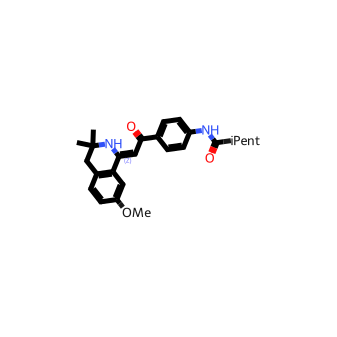 CCCC(C)C(=O)Nc1ccc(C(=O)/C=C2\NC(C)(C)Cc3ccc(OC)cc32)cc1